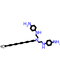 C#CC#CC#CC#CC#CC#CN(CCNc1ccc(N)cc1)CCNc1ccc(N)cc1